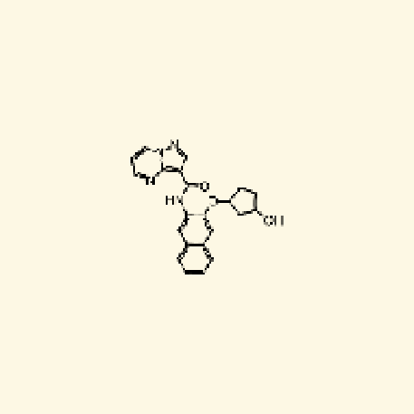 O=C(Nc1cc2ccccc2cc1OC1CCC(O)C1)c1cnn2cccnc12